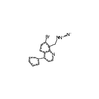 [N-]=[N+]=NCc1c(Br)ccc2c(-c3ccccc3)ccnc12